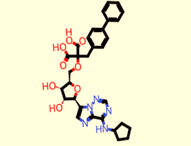 O=C(O)C(Cc1ccc(-c2ccccc2)cc1)(OC[C@H]1O[C@@H](c2cnc3c(NC4CCCC4)ncnn23)[C@H](O)[C@@H]1O)C(=O)O